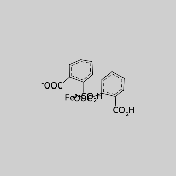 O=C([O-])c1ccccc1C(=O)O.O=C([O-])c1ccccc1C(=O)O.[Fe+2]